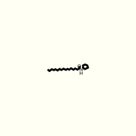 CCCCCCCCCCCCCCCCC(=O)NC1CCCCC1